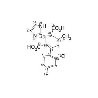 Cc1cc(-c2ccc(F)cc2Cl)c(C(=O)O)c(-c2ncc[nH]2)c1C(=O)O